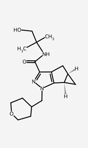 CC(C)(CO)NC(=O)c1nn(CC2CCOCC2)c2c1C[C@H]1C[C@@H]21